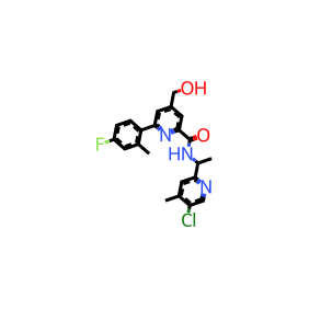 Cc1cc(C(C)NC(=O)c2cc(CO)cc(-c3ccc(F)cc3C)n2)ncc1Cl